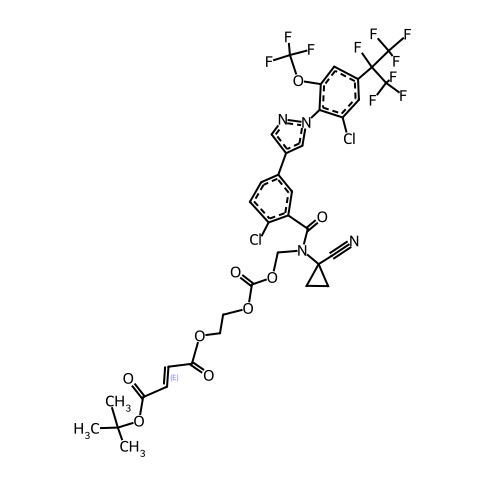 CC(C)(C)OC(=O)/C=C/C(=O)OCCOC(=O)OCN(C(=O)c1cc(-c2cnn(-c3c(Cl)cc(C(F)(C(F)(F)F)C(F)(F)F)cc3OC(F)(F)F)c2)ccc1Cl)C1(C#N)CC1